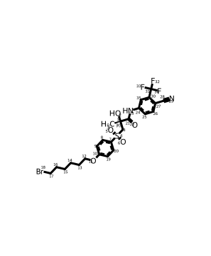 C[C@](O)(CS(=O)(=O)c1ccc(OCCCCCCBr)cc1)C(=O)Nc1ccc(C#N)c(C(F)(F)F)c1